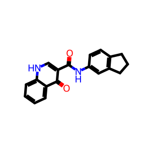 O=C(Nc1ccc2c(c1)CCC2)c1c[nH]c2ccccc2c1=O